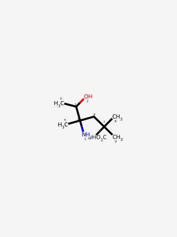 CC(O)C(C)(N)CC(C)(C)C(=O)O